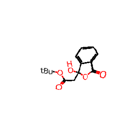 CC(C)(C)OC(=O)CC1(O)OC(=O)c2ccccc21